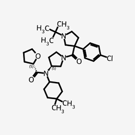 CC1(C)CCC(N(C(=O)[C@@H]2CCCO2)[C@H]2CCN(C(=O)C3(c4ccc(Cl)cc4)CCN(C(C)(C)C)C3)C2)CC1